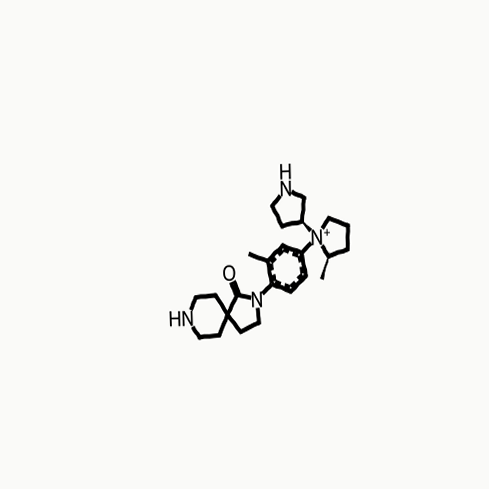 Cc1cc([N+]2([C@H]3CCNC3)CCC[C@H]2C)ccc1N1CCC2(CCNCC2)C1=O